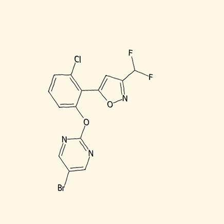 FC(F)c1cc(-c2c(Cl)cccc2Oc2ncc(Br)cn2)on1